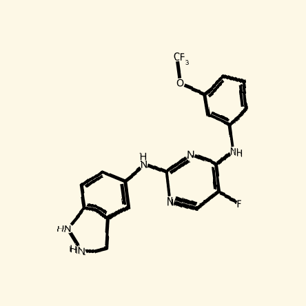 Fc1cnc(Nc2ccc3c(c2)CNN3)nc1Nc1cccc(OC(F)(F)F)c1